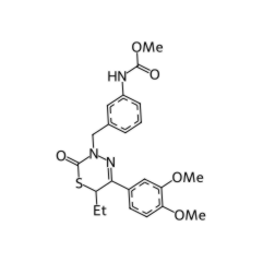 CCC1SC(=O)N(Cc2cccc(NC(=O)OC)c2)N=C1c1ccc(OC)c(OC)c1